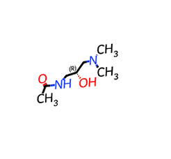 CC(=O)NC[C@@H](O)CN(C)C